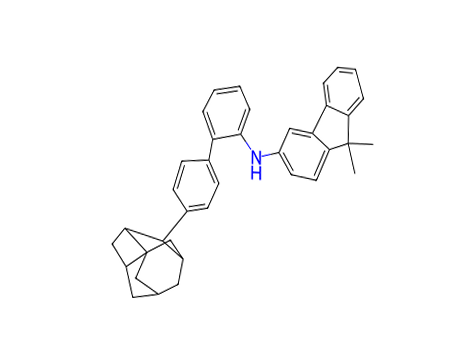 CC1(C)c2ccccc2-c2cc(Nc3ccccc3-c3ccc(C4C5CC6CC7CC4C7(C6)C5)cc3)ccc21